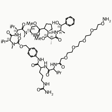 CC[C@H](C)[C@@H]([C@@H](CC(=O)C1CCC[C@H]1[C@H](OC)[C@@H](C)C(=O)N[C@H](C)[C@@H](O)c1ccccc1)OC)N(C)C(=O)[C@@H](NC(=O)[C@H](C(C)C)N(C)C(=O)OCc1ccc(NC(=O)C(CCCNC(N)=O)NC(=O)C(NC(=O)COCCOCCOCCOCCON)C(C)C)cc1)C(C)C